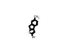 Cc1ccc2c(c1)Cc1sc(C(C)C)cc1-2